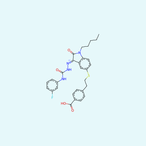 CCCCCN1C(=O)/C(=N/NC(=O)Nc2cccc(F)c2)c2cc(SCCc3ccc(C(=O)O)cc3)ccc21